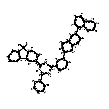 CC1(C)c2ccccc2-c2cc(-c3nc(-c4ccccc4)nc(-c4cccc(-c5ccc6cc(-c7cccc8ccccc78)ccc6c5)c4)n3)ccc21